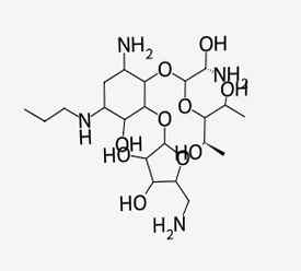 CCCNC1CC(N)C(OC(OC(C(C)O)[C@@H](C)O)[C@@H](N)O)C(OC2OC(CN)C(O)C2O)C1O